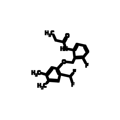 CCC(=O)Nc1cccc(F)c1COc1cc(C)c(C)cc1C(F)F